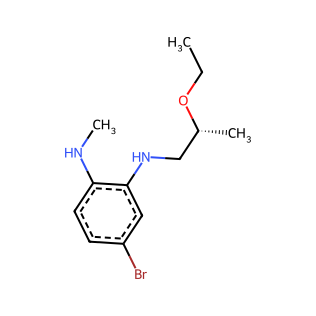 CCO[C@H](C)CNc1cc(Br)ccc1NC